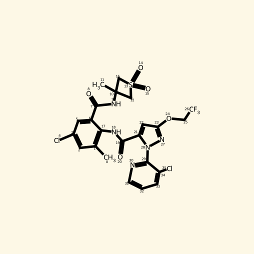 Cc1cc(Cl)cc(C(=O)NC2(C)CS(=O)(=O)C2)c1NC(=O)c1cc(OCC(F)(F)F)nn1-c1ncccc1Cl